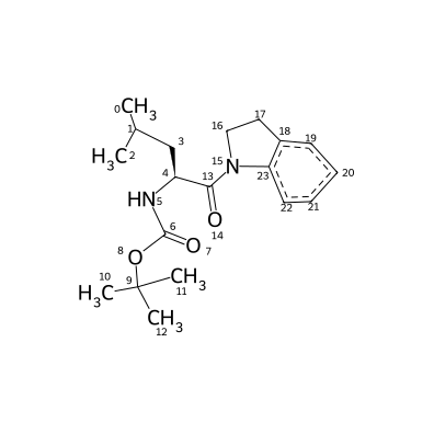 CC(C)C[C@H](NC(=O)OC(C)(C)C)C(=O)N1CCc2ccccc21